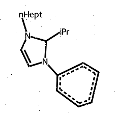 CCCCCCCN1C=CN(c2ccccc2)C1C(C)C